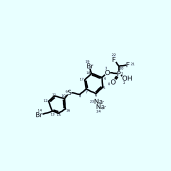 O=P(O)(Oc1ccc(CSc2ccc(Br)cc2)cc1Br)C(F)F.[Na].[Na]